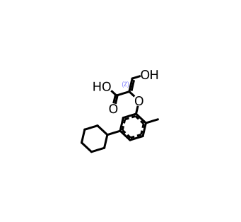 Cc1ccc(C2CCCCC2)cc1O/C(=C\O)C(=O)O